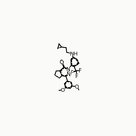 COc1cc(OC)cc(-c2nn(-c3cc(NCCC4CC4)ccc3C(F)(F)F)c(=O)c3c2CCC3)c1